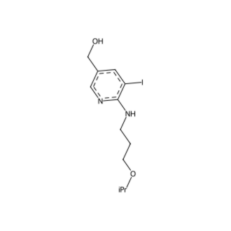 CC(C)OCCCNc1ncc(CO)cc1I